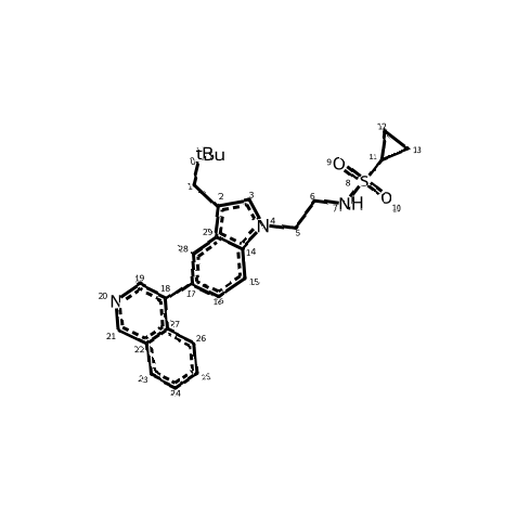 CC(C)(C)Cc1cn(CCNS(=O)(=O)C2CC2)c2ccc(-c3cncc4ccccc34)cc12